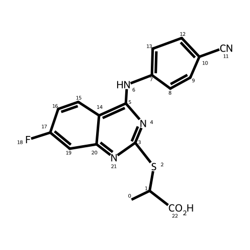 CC(Sc1nc(Nc2ccc(C#N)cc2)c2ccc(F)cc2n1)C(=O)O